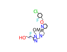 COCCn1c(/C(F)=C/CO)cnc1CN1CCC(c2cccc(OCc3ccc(Cl)cc3F)n2)CC1